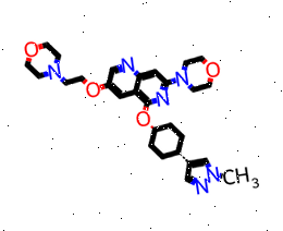 Cn1cc([C@H]2CC[C@@H](Oc3nc(N4CCOCC4)cc4ncc(OCCN5CCOCC5)cc34)CC2)cn1